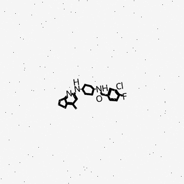 Cc1cc(N[C@H]2CC[C@@H](NC(=O)c3ccc(F)c(Cl)c3)CC2)nc2c1CCC2